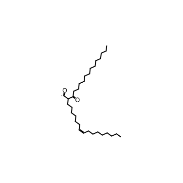 CCCCCCCC/C=C\CCCCCCC([C]=O)C(=O)CCCCCCCCCCCCC